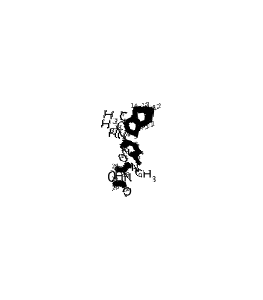 CN(Cc1ccc(NC2Cc3ccccc3C2(C)C)cn1)C(=O)C1COCC(=O)N1